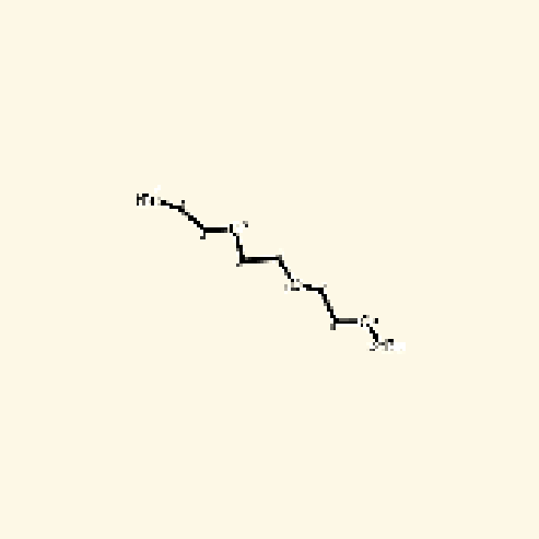 CC(C)(C)CCOCCOCCOC(C)(C)C